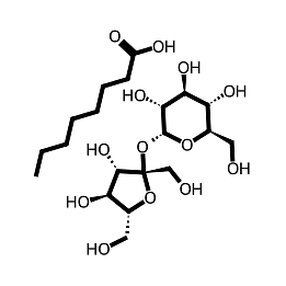 CCCCCCCC(=O)O.OC[C@H]1O[C@@](CO)(O[C@H]2O[C@H](CO)[C@@H](O)[C@H](O)[C@H]2O)[C@@H](O)[C@@H]1O